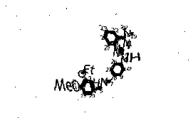 CCOc1cc(CNC[C@H]2CC[C@@H](Nc3nc4c(c(N(C)C)n3)CCCC4)CC2)ccc1OC